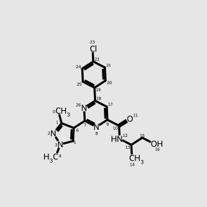 Cc1nn(C)cc1-c1nc(C(=O)NC(C)CO)cc(-c2ccc(Cl)cc2)n1